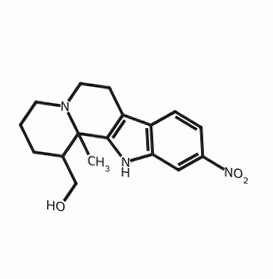 CC12c3[nH]c4cc([N+](=O)[O-])ccc4c3CCN1CCCC2CO